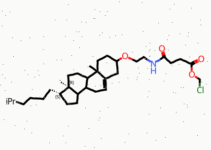 CC(C)CCCC[C@H]1CCC2C3CC=C4CC(OCCNC(=O)CCC(=O)OCCl)CCC4(C)C3CC[C@@]21C